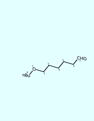 CCCCOCCCCCC=O